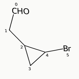 O=CCC1CC1Br